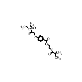 C=C(C)C(=O)OCCOC(=O)c1ccc(SCC(=S)P(C)(=O)OCC)cc1